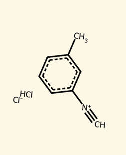 C#[N+]c1cccc(C)c1.Cl.[Cl-]